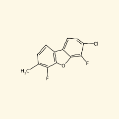 Cc1ccc2c(oc3c(F)c(Cl)ccc32)c1F